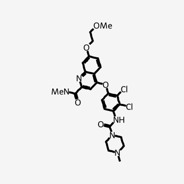 CNC(=O)c1cc(Oc2ccc(NC(=O)N3CCN(C)CC3)c(Cl)c2Cl)c2ccc(OCCOC)cc2n1